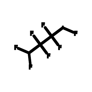 F[CH]C(F)(F)C(F)(F)C(F)F